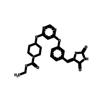 CCOC(=O)N1CCC(Oc2cc(Oc3cccc(/C=C4\SC(=O)NC4=O)c3)ncn2)CC1